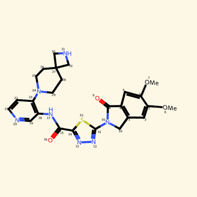 COc1cc2c(cc1OC)C(=O)N(c1nnc(C(=O)Nc3cnccc3N3CCC4(CC3)CNC4)s1)C2